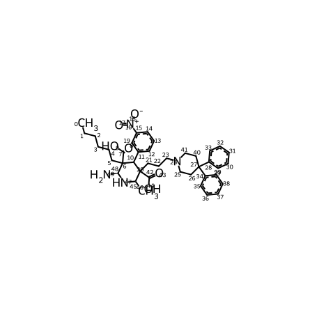 CCCCCCC1(C(=O)O)C(c2cccc([N+](=O)[O-])c2)C(CCCN2CCC(c3ccccc3)(c3ccccc3)CC2)(C(=O)O)C(C)N[C@H]1N